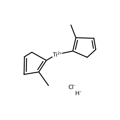 CC1=[C]([Ti+2][C]2=C(C)C=CC2)CC=C1.[Cl-].[H-]